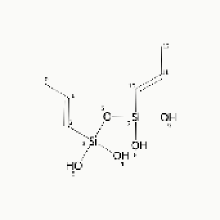 CC=C[Si](O)(O)O[Si](O)(O)C=CC